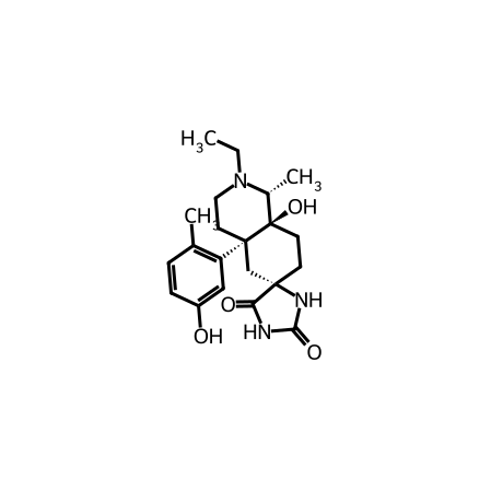 CCN1CC[C@]2(c3cc(O)ccc3C)C[C@]3(CC[C@@]2(O)[C@H]1C)NC(=O)NC3=O